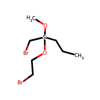 CCC[Si](CBr)(OC)OCCBr